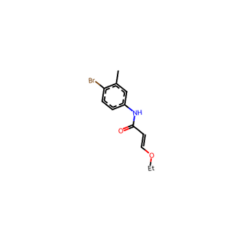 CCOC=CC(=O)Nc1ccc(Br)c(C)c1